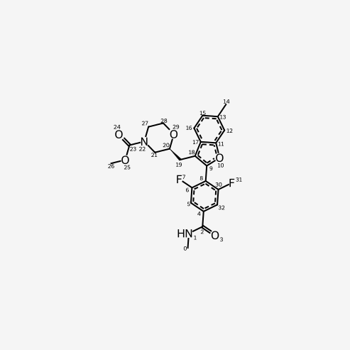 CNC(=O)c1cc(F)c(-c2oc3cc(C)ccc3c2C[C@H]2CN(C(=O)OC)CCO2)c(F)c1